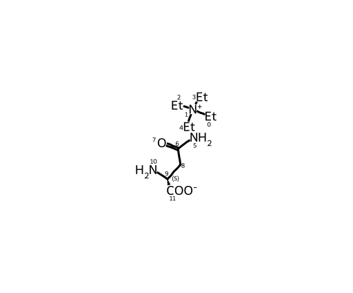 CC[N+](CC)(CC)CC.NC(=O)C[C@H](N)C(=O)[O-]